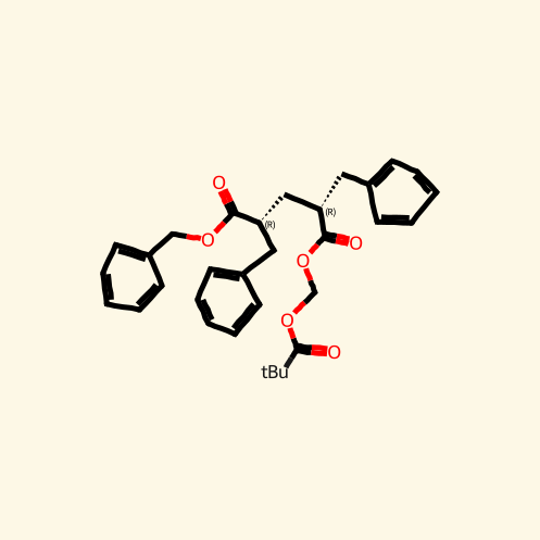 CC(C)(C)C(=O)OCOC(=O)[C@@H](Cc1ccccc1)C[C@H](Cc1ccccc1)C(=O)OCc1ccccc1